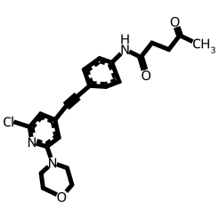 CC(=O)CCC(=O)Nc1ccc(C#Cc2cc(Cl)nc(N3CCOCC3)c2)cc1